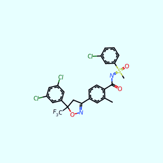 Cc1cc(C2=NOC(c3cc(Cl)cc(Cl)c3)(C(F)(F)F)C2)ccc1C(=O)N=S(C)(=O)c1cccc(Cl)c1